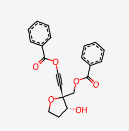 O=C(OC#C[C@]1(COC(=O)c2ccccc2)OCC[C@H]1O)c1ccccc1